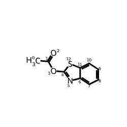 CC(=O)Oc1nc2ccccc2s1